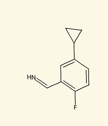 N=Cc1cc(C2CC2)ccc1F